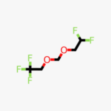 FC(F)COCOCC(F)(F)F